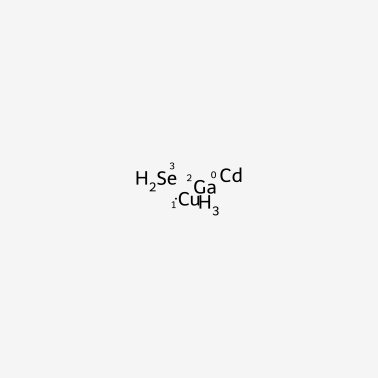 [Cd].[Cu].[GaH3].[SeH2]